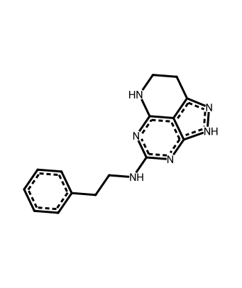 c1ccc(CCNc2nc3c4c(n[nH]c4n2)CCN3)cc1